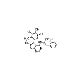 CCc1sc2ncnc(N[C@H](Cc3ccccc3)C(=O)O)c2c1-c1cc(Cl)c(O)c(Cl)c1C